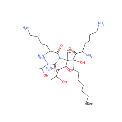 CCCCCCCCCCCCCCCC(=O)C(O)(C(=O)C(N)CCCCN)C(C(=O)O)(C(=O)C(N)C(C)O)N(C(=O)C(N)CCCCN)C(=O)C(N)C(C)O